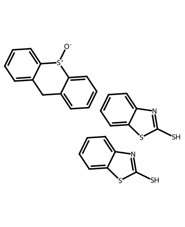 Sc1nc2ccccc2s1.Sc1nc2ccccc2s1.[O-][S+]1c2ccccc2Cc2ccccc21